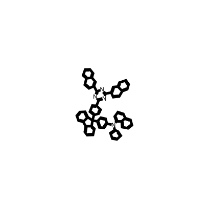 c1ccc(N(c2ccc(C3(c4ccc(-c5nc(-c6ccc7ccccc7c6)nc(-c6ccc7ccccc7c6)n5)cc4)c4ccccc4-c4ccccc43)cc2)c2cccc3ccccc23)cc1